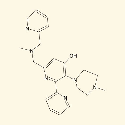 CN1CCN(c2c(O)cc(CN(C)Cc3ccccn3)nc2-c2ccccn2)CC1